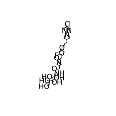 O=C(CC1CN(C(=O)Cc2ccc(OCCCC3CCN(c4ncc(Cl)cn4)CC3)cc2F)C1)NCC(O)C(O)C(O)C(O)CO